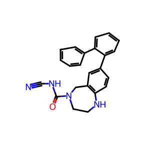 N#CNC(=O)N1CCNc2ccc(-c3ccccc3-c3ccccc3)cc2C1